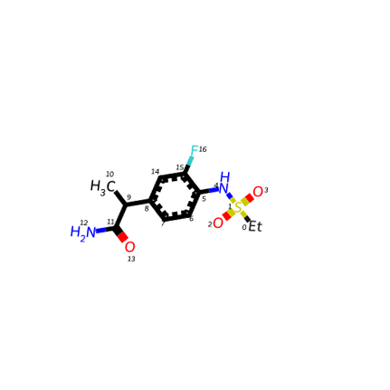 CCS(=O)(=O)Nc1ccc(C(C)C(N)=O)cc1F